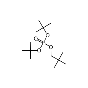 CC(C)(C)COP(=O)(OC(C)(C)C)OC(C)(C)C